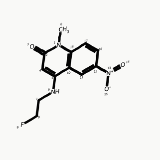 Cn1c(=O)cc(NCCF)c2cc([N+](=O)[O-])ccc21